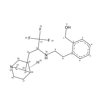 OCc1ccccc1CCNC(C[C@@H]1CN2CCC1CC2)C(F)(F)F